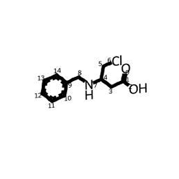 O=C(O)CC(CCl)NCc1ccccc1